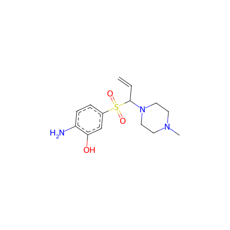 C=CC(N1CCN(C)CC1)S(=O)(=O)c1ccc(N)c(O)c1